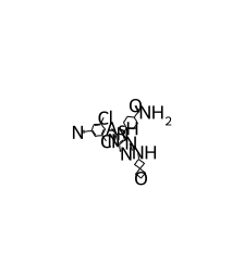 N#Cc1cc(Cl)c([AsH]c2nc3cnc(NC4CC5(COC5)C4)nc3n2C2CCC(C(N)=O)CC2)c(Cl)c1